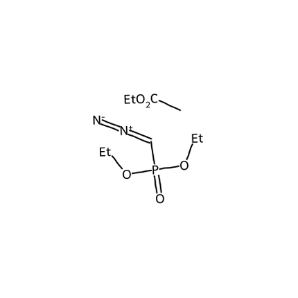 CCOC(C)=O.CCOP(=O)(C=[N+]=[N-])OCC